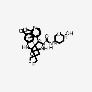 O=C(N[C@@H]1CC[C@@H](O)OC1)[C@@H]1NC2(CC(CF)(CF)C2)[C@@]2(C(=O)Nc3cc(Cl)ccc32)[C@H]1c1ccnc(Cl)c1F